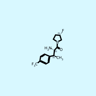 C[C@@H](c1ccc(C(F)(F)F)cc1)[C@H](N)C(=O)N1CC[C@H](F)C1